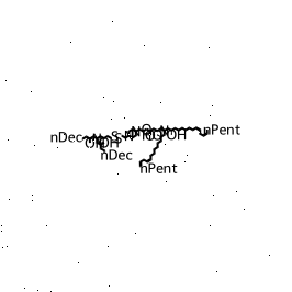 CCCCC/C=C\C/C=C\CCCCCC[C@@H](O)CN(CCCC(=O)OCCN1CCN(CCSSCCCCN(CC(O)CCCCCCCCCCCC)CC(O)CCCCCCCCCCCC)CC1)C[C@H](O)CCCCCC/C=C\C/C=C\CCCCC